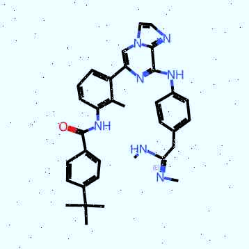 C/N=C(\Cc1ccc(Nc2nc(-c3cccc(NC(=O)c4ccc(C(C)(C)C)cc4)c3C)cn3ccnc23)cc1)NC